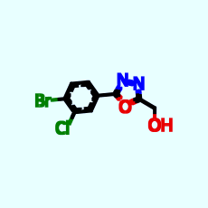 OCc1nnc(-c2ccc(Br)c(Cl)c2)o1